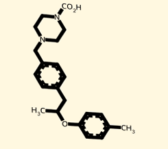 Cc1ccc(OC(C)Cc2ccc(CN3CCN(C(=O)O)CC3)cc2)cc1